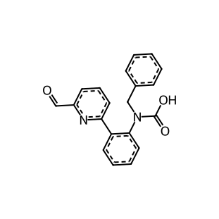 O=Cc1cccc(-c2ccccc2N(Cc2ccccc2)C(=O)O)n1